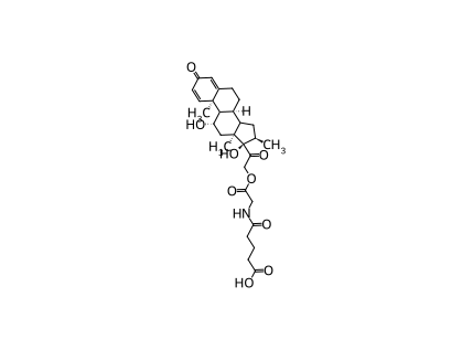 C[C@@H]1CC2[C@@H]3CCC4=CC(=O)C=C[C@]4(C)C3[C@@H](O)C[C@]2(C)[C@@]1(O)C(=O)COC(=O)CNC(=O)CCCC(=O)O